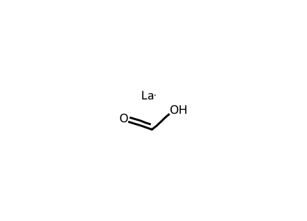 O=CO.[La]